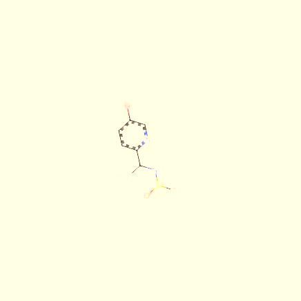 CC(N[S+]([O-])C(C)(C)C)c1ccc(Br)cn1